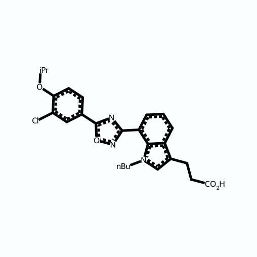 CCCCn1cc(CCC(=O)O)c2cccc(-c3noc(-c4ccc(OC(C)C)c(Cl)c4)n3)c21